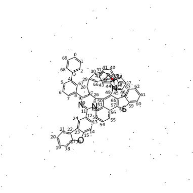 c1ccc(-c2cccc(-c3nc(-c4ccc5oc6ccccc6c5c4)nc4c3Cc3ccc5c(ccc6c7cc8ccccc8cc7n(c56)-c5c-4c4ccccc4c4sc6ccccc6c54)c3)c2)cc1